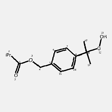 CC(C)C(=O)OCc1ccc(C(C)(C)OO)cc1